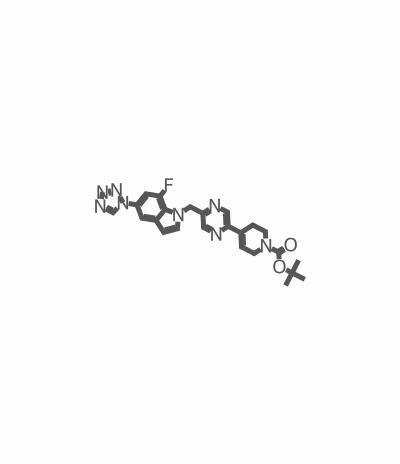 CC(C)(C)OC(=O)N1CC=C(c2cnc(Cn3ccc4cc(-n5cnnn5)cc(F)c43)cn2)CC1